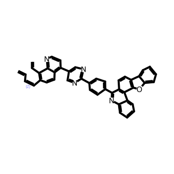 C=C/C=C\c1ccc2c(-c3cnc(-c4ccc(-c5nc6ccccc6c6c5ccc5c7ccccc7oc56)cc4)nc3)ccnc2c1C=C